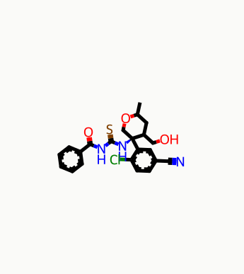 CC1CC(CO)[C@](NC(=S)NC(=O)c2ccccc2)(c2cc(C#N)ccc2Cl)CO1